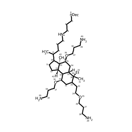 CCCCCCCCCCCCCNCCCC(C)C1CC[C@H]2C3[C@H](OCCCN)CC(CCOCCCN)[C@](C)(CC)[C@H]3C[C@H](OCCCN)[C@]12C